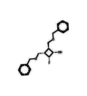 O[C@@H]1[C@H](F)[C@H](COCc2ccccc2)[C@H]1COCc1ccccc1